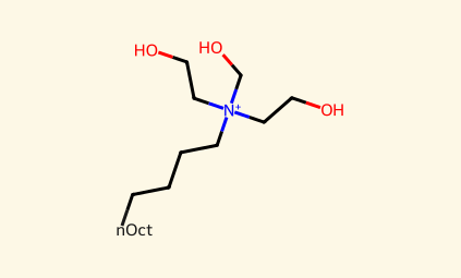 CCCCCCCCCCCC[N+](CO)(CCO)CCO